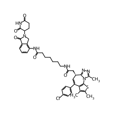 Cc1sc2c(c1C)C(c1ccc(Cl)cc1)=C[C@@H](CC(=O)NCCCCCCC(=O)Nc1cccc3c1CN(C1CCC(=O)NC1=O)C3=O)c1nnc(C)n1-2